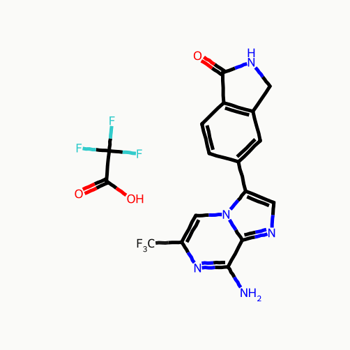 Nc1nc(C(F)(F)F)cn2c(-c3ccc4c(c3)CNC4=O)cnc12.O=C(O)C(F)(F)F